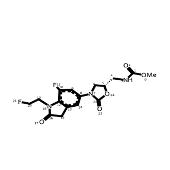 COC(=O)NC[C@H]1CN(c2cc(F)c3c(c2)CC(=O)N3CCF)C(=O)O1